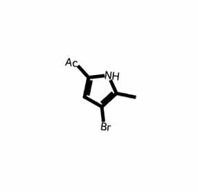 CC(=O)c1cc(Br)c(C)[nH]1